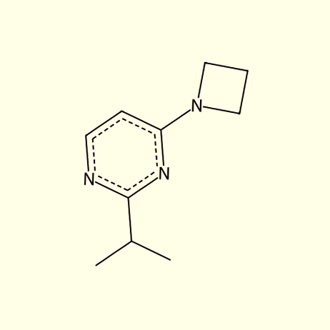 CC(C)c1nccc(N2CCC2)n1